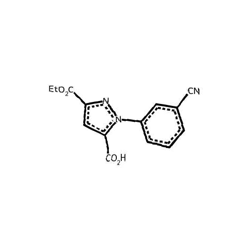 CCOC(=O)c1cc(C(=O)O)n(-c2cccc(C#N)c2)n1